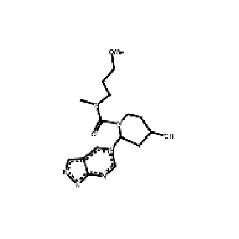 COCCCN(C)C(=O)N1CCC(O)CC1n1cnc2nncc-2c1